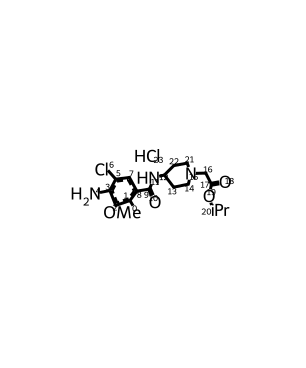 COc1cc(N)c(Cl)cc1C(=O)NC1CCN(CC(=O)OC(C)C)CC1.Cl